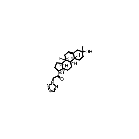 C[C@@]1(O)CC[C@H]2C(=CC[C@@H]3[C@@H]2CC[C@]2(C)[C@@H](C(=O)Cn4ncnn4)CC[C@@H]32)C1